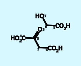 O=C(O)CC(=O)C(=O)O.O=C(O)CO